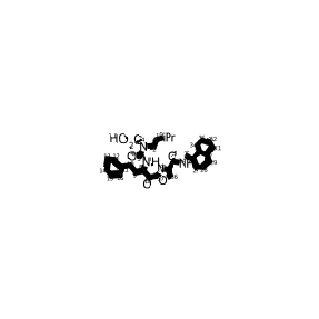 CC(C)CCN(C(=O)O)C(=O)NC(CCc1ccccc1)C(=O)c1nc(C(=O)NCc2cccc3ccccc23)co1